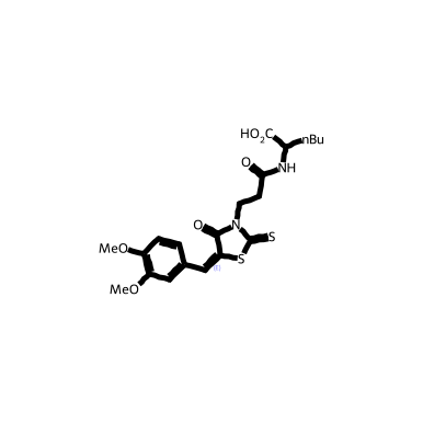 CCCCC(NC(=O)CCN1C(=O)/C(=C\c2ccc(OC)c(OC)c2)SC1=S)C(=O)O